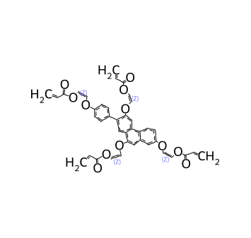 C=CC(=O)O/C=C\Oc1ccc(-c2cc3c(O/C=C\OC(=O)C=C)cc4cc(O/C=C\OC(=O)C=C)ccc4c3cc2O/C=C\OC(=O)C=C)cc1